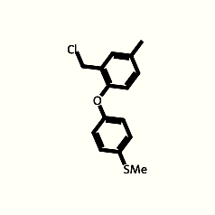 CSc1ccc(Oc2ccc(C)cc2CCl)cc1